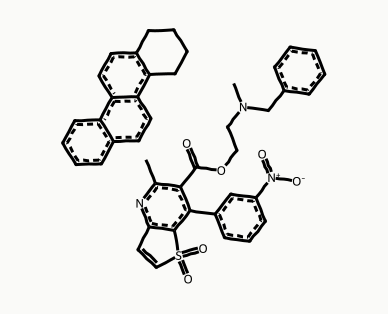 Cc1nc2c(c(-c3cccc([N+](=O)[O-])c3)c1C(=O)OCCN(C)Cc1ccccc1)S(=O)(=O)C=C2.c1ccc2c(c1)ccc1c3c(ccc12)CCCC3